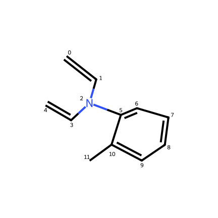 C=CN(C=C)c1ccccc1C